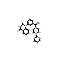 O=C(c1cccc(-n2c(=O)[nH]c(=O)c3ccccc32)c1)N1CCN(c2ncccn2)CC1